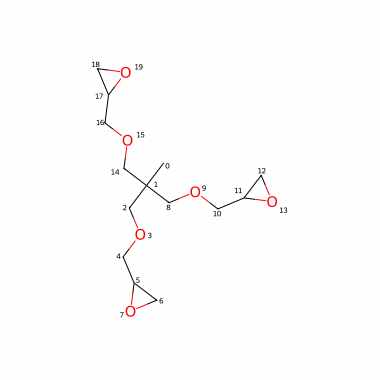 CC(COCC1CO1)(COCC1CO1)COCC1CO1